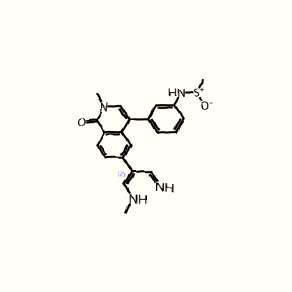 CN/C=C(\C=N)c1ccc2c(=O)n(C)cc(-c3cccc(N[S+](C)[O-])c3)c2c1